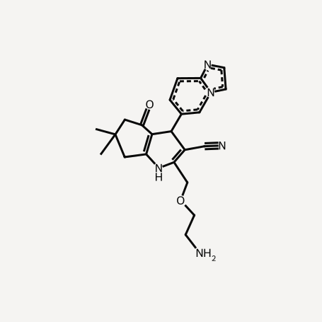 CC1(C)CC(=O)C2=C(C1)NC(COCCN)=C(C#N)C2c1ccc2nccn2c1